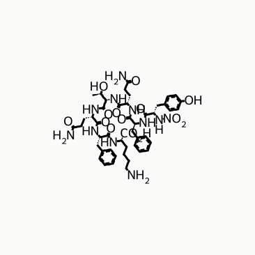 C[C@@H](O)[C@H](NC(=O)[C@H](CCC(N)=O)NC(=O)[C@H](Cc1ccccc1)NC(=O)[C@H](Cc1ccc(O)cc1)N[N+](=O)[O-])C(=O)N[C@@H](CCC(N)=O)C(=O)N[C@@H](Cc1ccccc1)C(=O)N[C@@H](CCCCN)C(=O)O